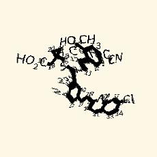 CC#N.CC(C)(O)c1ccccc1CC[C@@H](SCC1(CC(=O)O)CC1)c1cccc(/C=C/c2ccc3ccc(Cl)cc3n2)c1